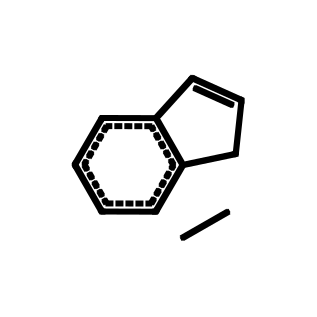 C1=Cc2ccccc2C1.CC